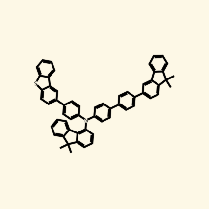 CC1(C)c2ccccc2-c2cc(-c3ccc(-c4ccc(N(c5ccc(-c6ccc7sc8ccccc8c7c6)cc5)c5cccc6c5-c5ccccc5C6(C)C)cc4)cc3)ccc21